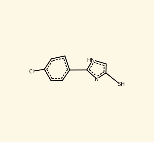 Sc1c[nH]c(-c2ccc(Cl)cc2)n1